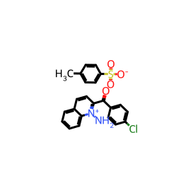 Cc1ccc(S(=O)(=O)[O-])cc1.N[n+]1c(C(=O)c2ccc(Cl)cc2)ccc2ccccc21